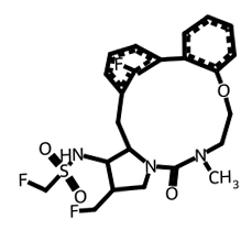 CN1CCOc2ccccc2-c2cccc(c2F)CC2C(NS(=O)(=O)CF)C(CF)CN2C1=O